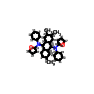 Cc1ccc2c(N(c3ccccc3)c3ccco3)c3cc(C)c(C)cc3c(N(c3ccccc3)c3ccco3)c2c1